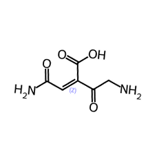 NCC(=O)/C(=C/C(N)=O)C(=O)O